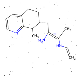 C=CN/C(C)=C(\N)CC1CCc2cccnc2C1C